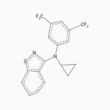 FC(F)(F)c1cc(N(c2noc3ccccc23)C2CC2)cc(C(F)(F)F)c1